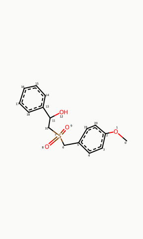 COc1ccc(CS(=O)(=O)CC(O)c2ccccc2)cc1